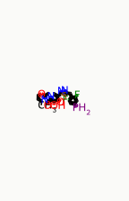 C[C@H]1CCOC2Cn3cc(-c4nnc(Cc5c(F)cc(P)cc5F)s4)c(=O)c(O)c3C(=O)N21